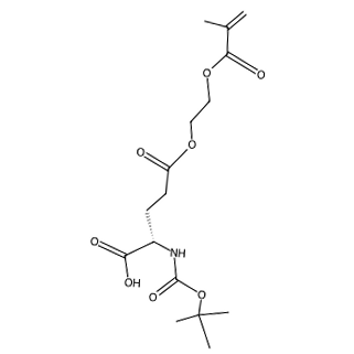 C=C(C)C(=O)OCCOC(=O)CC[C@H](NC(=O)OC(C)(C)C)C(=O)O